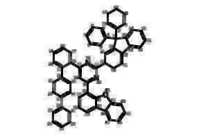 C1=CC(C2(c3ccccc3)C3=CC(c4nc(-c5ccccc5-c5ccc(-c6ccccc6)cc5)cc(-c5cccc6c5oc5ccccc56)n4)CC=C3c3ccccc32)=CCC1